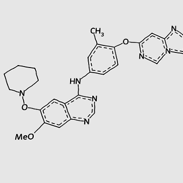 COc1cc2ncnc(Nc3ccc(Oc4cc5nncn5cn4)c(C)c3)c2cc1ON1CCCCC1